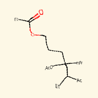 [CH2]CC(C(C)=O)C(CCC)(CCCOC(=O)CC)OC(C)=O